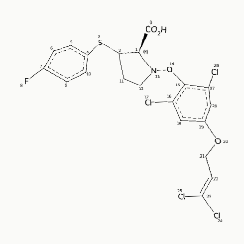 O=C(O)[C@@H]1C(Sc2ccc(F)cc2)CCN1Oc1c(Cl)cc(OCC=C(Cl)Cl)cc1Cl